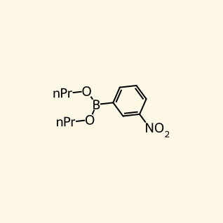 CCCOB(OCCC)c1cccc([N+](=O)[O-])c1